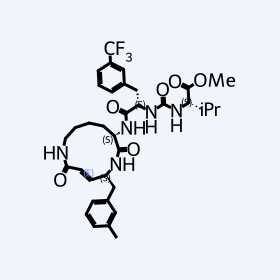 COC(=O)[C@@H](NC(=O)N[C@@H](Cc1cccc(C(F)(F)F)c1)C(=O)N[C@H]1CCCCNC(=O)/C=C/[C@H](Cc2cccc(C)c2)NC1=O)C(C)C